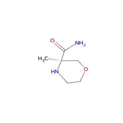 C[C@]1(C(N)=O)COCCN1